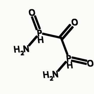 N[PH](=O)C(=O)[PH](N)=O